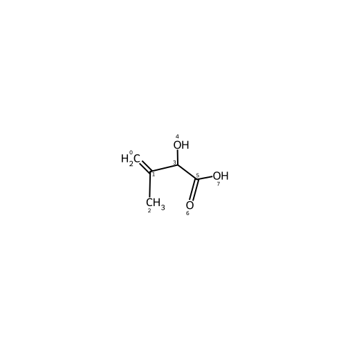 C=C(C)C(O)C(=O)O